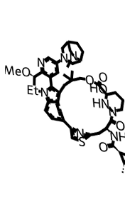 CCn1c(-c2cc(N3CC4CCC(C3)N(C)C4)cnc2[C@H](C)OC)c2c3cc(ccc31)-c1csc(n1)C[C@H](NC(=O)[C@H]1C[C@@H]1C)C(=O)N1CCC[C@@](O)(N1)C(=O)OCC(C)(C)C2